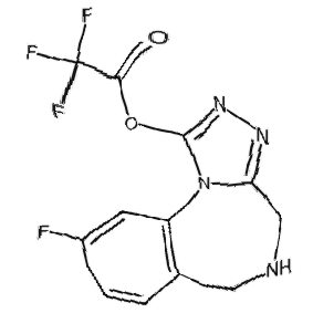 O=C(Oc1nnc2n1-c1cc(F)ccc1CNC2)C(F)(F)F